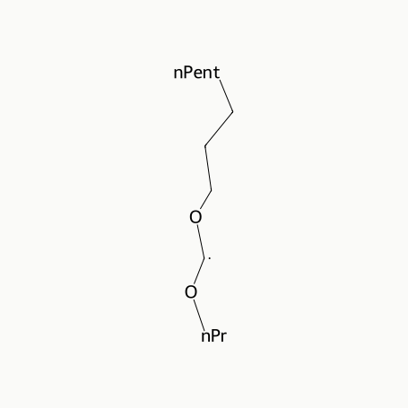 CCCCCCCCO[CH]OCCC